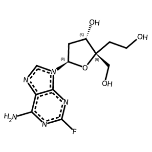 Nc1nc(F)nc2c1ncn2[C@H]1C[C@H](O)[C@](CO)(CCO)O1